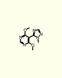 COc1ncnc(OC)c1-c1ncnn1C